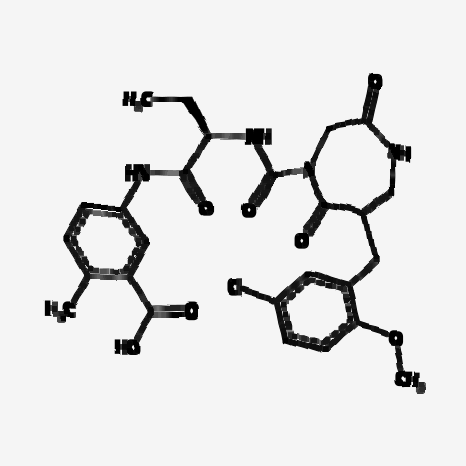 CC[C@@H](NC(=O)N1CC(=O)NCC(Cc2cc(Cl)ccc2OC)C1=O)C(=O)Nc1ccc(C)c(C(=O)O)c1